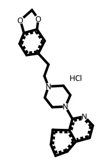 Cl.c1ccc2c(N3CCN(CCc4ccc5c(c4)OCO5)CC3)nccc2c1